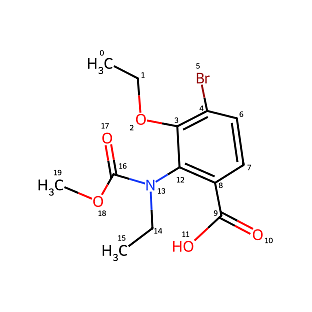 CCOc1c(Br)ccc(C(=O)O)c1N(CC)C(=O)OC